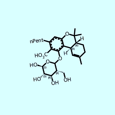 CCCCCc1cc2c(c(OC3O[C@H](O)[C@@H](O)[C@H](O)[C@H]3CO)c1C(=O)O)[C@@H]1C=C(C)CC[C@H]1C(C)(C)O2